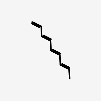 [CH]=CC=CC=CC=CC